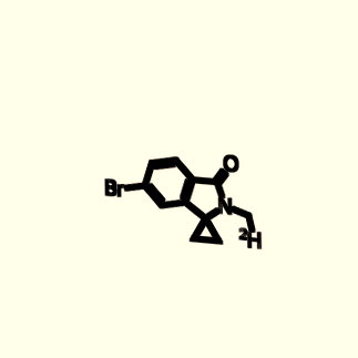 [2H]CN1C(=O)c2ccc(Br)cc2C12CC2